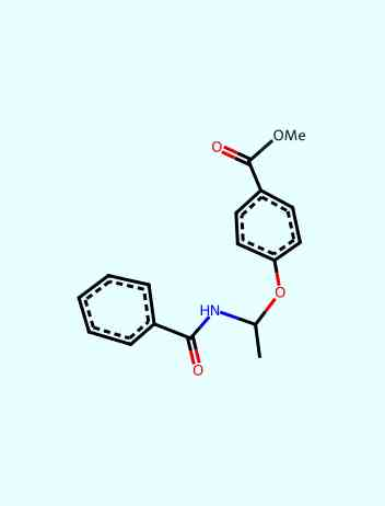 COC(=O)c1ccc(OC(C)NC(=O)c2ccccc2)cc1